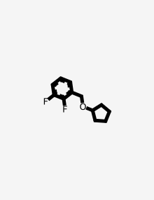 Fc1cccc(COC2CCCC2)c1F